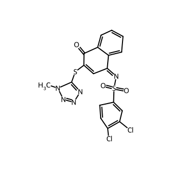 Cn1nnnc1SC1=CC(=NS(=O)(=O)c2ccc(Cl)c(Cl)c2)c2ccccc2C1=O